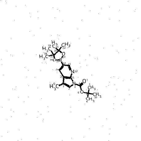 Cc1cn(C(=O)OC(C)(C)C)c2ncc(B3OC(C)(C)C(C)(C)O3)cc12